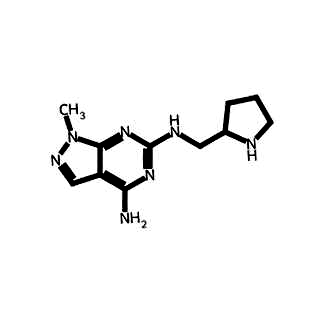 Cn1ncc2c(N)nc(NCC3CCCN3)nc21